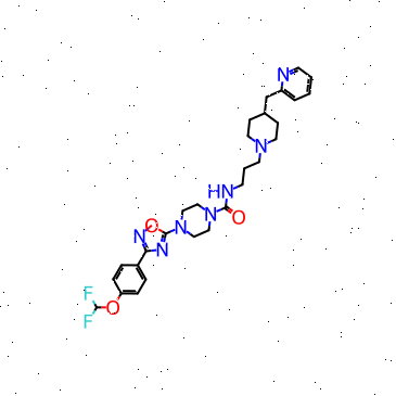 O=C(NCCCN1CCC(Cc2ccccn2)CC1)N1CCN(c2nc(-c3ccc(OC(F)F)cc3)no2)CC1